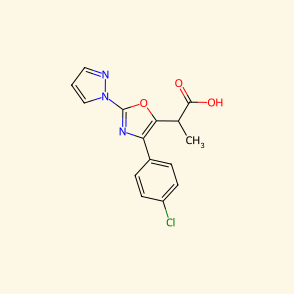 CC(C(=O)O)c1oc(-n2cccn2)nc1-c1ccc(Cl)cc1